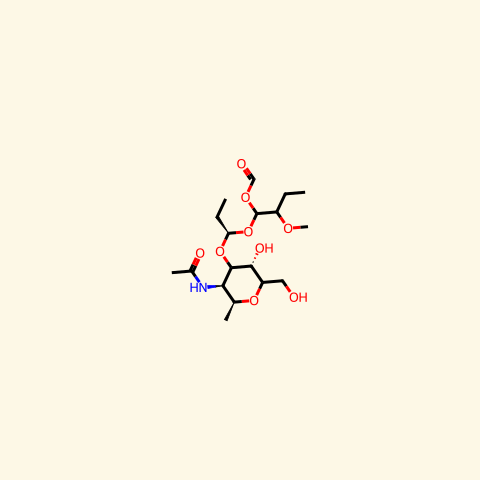 CCC(OC)C(OC=O)O[C@H](CC)OC1[C@H](O)C(CO)O[C@@H](C)[C@H]1NC(C)=O